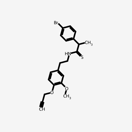 C#CCOc1ccc(CCNC(=S)C(C)c2ccc(Br)cc2)cc1OC